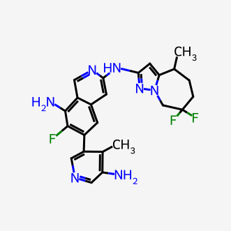 Cc1c(N)cncc1-c1cc2cc(Nc3cc4n(n3)CC(F)(F)CCC4C)ncc2c(N)c1F